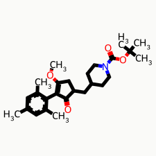 COC1=C(c2c(C)cc(C)cc2C)C(=O)C(CC2CCN(C(=O)OC(C)(C)C)CC2)C1